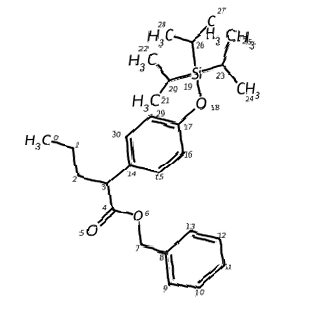 CCCC(C(=O)OCc1ccccc1)c1ccc(O[Si](C(C)C)(C(C)C)C(C)C)cc1